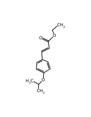 CCOC(=O)/C=C/c1ccc(OC(C)C)cc1